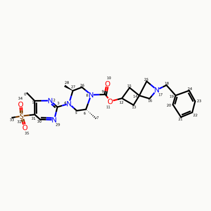 Cc1nc(N2C[C@@H](C)N(C(=O)OC3CC4(C3)CN(Cc3ccccc3)C4)C[C@@H]2C)ncc1S(C)(=O)=O